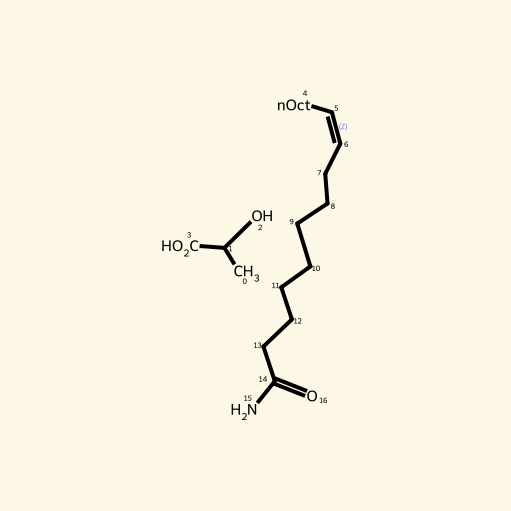 CC(O)C(=O)O.CCCCCCCC/C=C\CCCCCCCC(N)=O